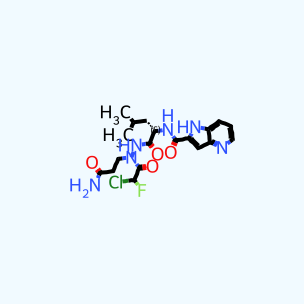 CC(C)C[C@H](NC(=O)c1cc2ncccc2[nH]1)C(=O)NN(CCC(N)=O)C(=O)C(F)Cl